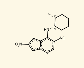 [C-]#[N+]c1cnn2cc([N+](=O)[O-])cc2c1N[C@H]1CCCC[C@H]1C